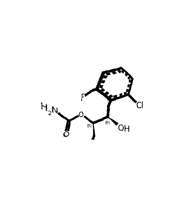 C[C@@H](OC(N)=O)[C@H](O)c1c(F)cccc1Cl